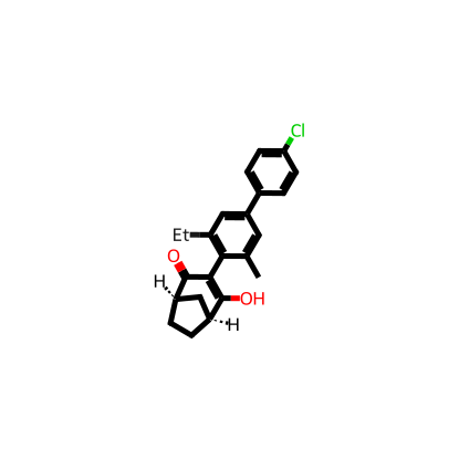 CCc1cc(-c2ccc(Cl)cc2)cc(C)c1C1=C(O)[C@H]2CC[C@H](C2)C1=O